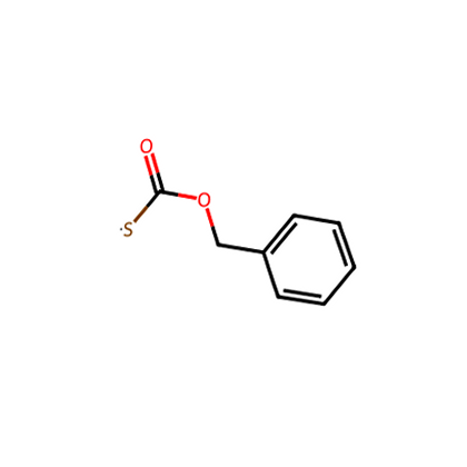 O=C([S])OCc1ccccc1